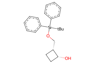 CC(C)(C)[Si](OC[C@H]1CC[C@H]1O)(c1ccccc1)c1ccccc1